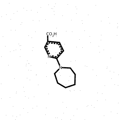 O=C(O)c1ccc(N2CCCCCC2)nc1